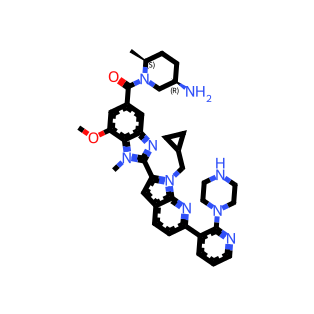 COc1cc(C(=O)N2C[C@H](N)CC[C@@H]2C)cc2nc(-c3cc4ccc(-c5cccnc5N5CCNCC5)nc4n3CC3CC3)n(C)c12